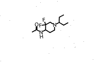 CCC(CC)N1CCC(NC(C)=O)C(F)(F)C1